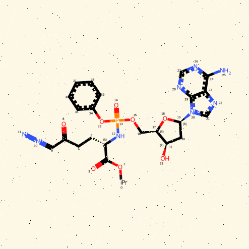 CC(C)OC(=O)[C@H](CCC(=O)C=[N+]=[N-])NP(=O)(OC[C@H]1O[C@@H](n2cnc3c(N)ncnc32)C[C@H]1O)Oc1ccccc1